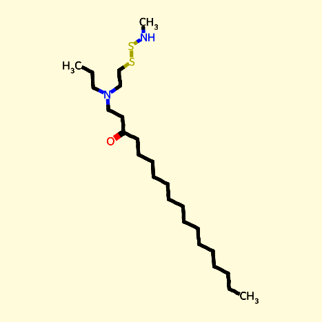 CCCCCCCCCCCCCCCC(=O)CCN(CCC)CCSSNC